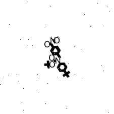 CON(C)C(=O)c1ccc(CN(C(=O)OC(C)(C)C)C2CCC(C(C)(C)C)CC2)cc1